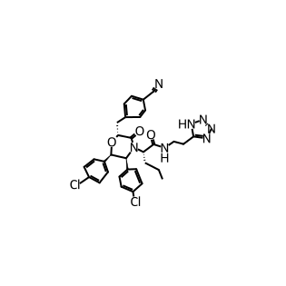 CCC[C@@H](C(=O)NCCc1nnn[nH]1)N1C(=O)[C@@H](Cc2ccc(C#N)cc2)O[C@H](c2ccc(Cl)cc2)[C@@H]1c1ccc(Cl)cc1